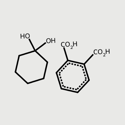 O=C(O)c1ccccc1C(=O)O.OC1(O)CCCCC1